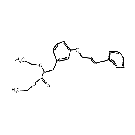 CCOC(=O)C(Cc1cccc(OC/C=C/c2ccccc2)c1)OCC